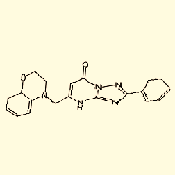 O=c1cc(CN2CCOC3CC=CC=C32)[nH]c2nc(C3=CC=CCC3)nn12